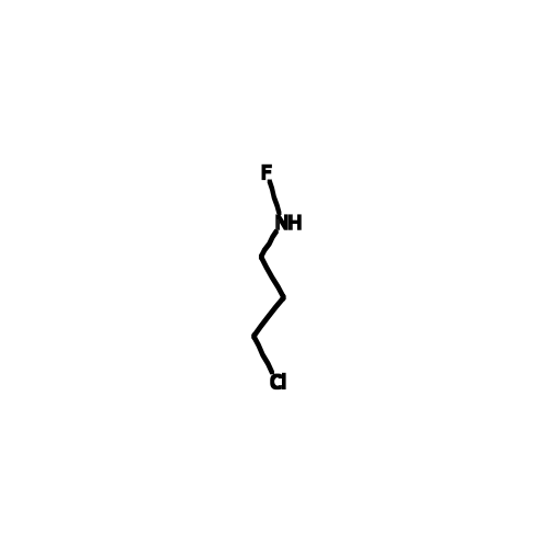 FNCCCCl